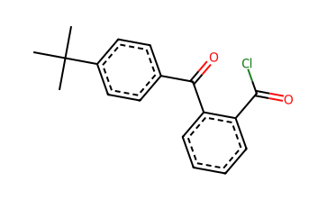 CC(C)(C)c1ccc(C(=O)c2ccccc2C(=O)Cl)cc1